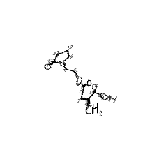 C=C(CC(=O)OCCN1CCCC1=O)C(=O)O